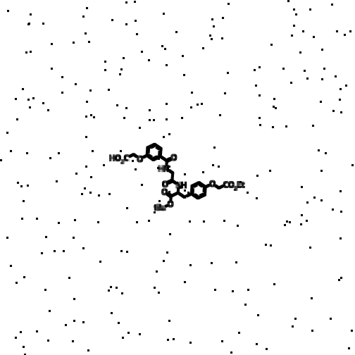 CCOC(=O)COc1ccc(CC(NC(=O)CNC(=O)c2cccc(OCC(=O)O)c2)C(=O)OC(C)(C)C)cc1